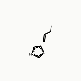 C=CCI.c1c[nH]cn1